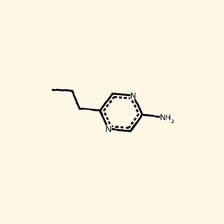 CCCc1cnc(N)cn1